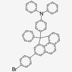 Brc1ccc(-c2cc3c4c(ccc5cccc(c54)C3(c3ccccc3)c3ccc(N(c4ccccc4)c4ccccc4)cc3)c2)cc1